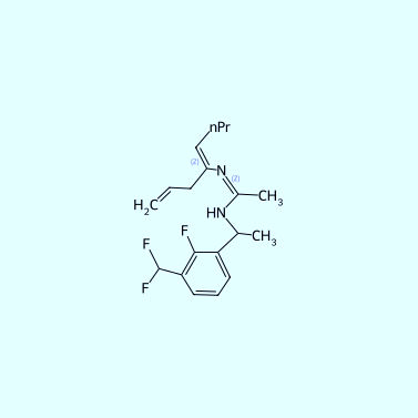 C=CCC(=C/CCC)/N=C(/C)NC(C)c1cccc(C(F)F)c1F